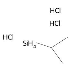 CC(C)C.Cl.Cl.Cl.[SiH4]